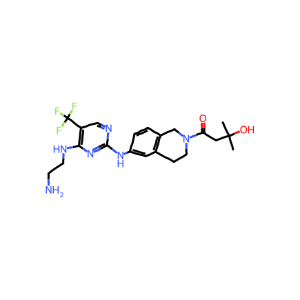 CC(C)(O)CC(=O)N1CCc2cc(Nc3ncc(C(F)(F)F)c(NCCN)n3)ccc2C1